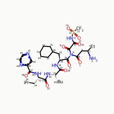 CCC(N)CC(=O)N(C(=O)C(=O)NS(=O)(=O)C(F)(F)F)C(=O)[C@H](CC1CCCCC1)NC(=O)[C@@H](NC(=O)[C@H](CC(C)C)NC(=O)c1cnccn1)[C@@H](C)CC